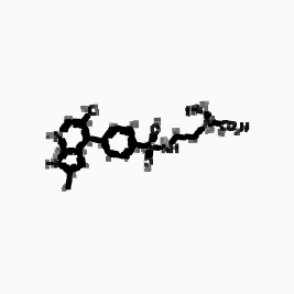 Cc1cc2c(-c3ccc(S(=O)(=O)NCCN(C(=O)O)C(C)(C)C)cc3)c(Cl)cnc2[nH]1